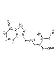 CSC[C@@H](CNCc1c[nH]c2c(=O)[nH]cnc12)[C@@H](O)CO